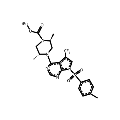 Cc1ccc(S(=O)(=O)n2cc(C(F)(F)F)c3c(N4C[C@H](C)N(C(=O)OC(C)(C)C)C[C@H]4C)ncnc32)cc1